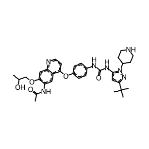 CC(=O)Nc1cc2c(Oc3ccc(NC(=O)Nc4cc(C(C)(C)C)nn4C4CCNCC4)cc3)ccnc2cc1OCC(C)O